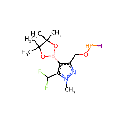 Cn1nc(COPI)c(B2OC(C)(C)C(C)(C)O2)c1C(F)F